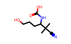 CC(C)(C#N)C(CCCO)NC(=O)O